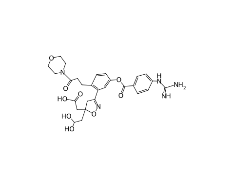 N=C(N)Nc1ccc(C(=O)Oc2ccc(CCC(=O)N3CCOCC3)c(C3=NOC(CC(=O)O)(CC(O)O)C3)c2)cc1